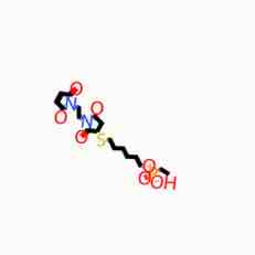 CCP(=O)(O)OCCCCCCSC1CC(=O)N(CCN2C(=O)C=CC2=O)C1=O